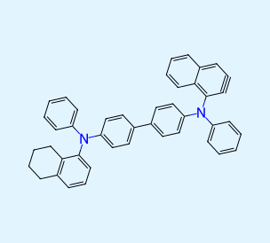 c1cc2ccccc2c(N(c2ccccc2)c2ccc(-c3ccc(N(c4ccccc4)c4cccc5c4CCCC5)cc3)cc2)c#1